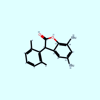 Cc1cccc(C)c1C1C(=O)Oc2c1cc(C(C)(C)C)cc2C(C)(C)C